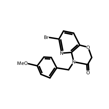 COc1ccc(CN2C(=O)COc3ccc(Br)nc32)cc1